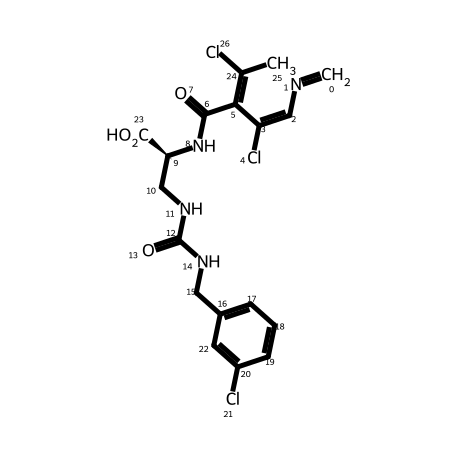 C=N/C=C(Cl)\C(C(=O)N[C@@H](CNC(=O)NCc1cccc(Cl)c1)C(=O)O)=C(/C)Cl